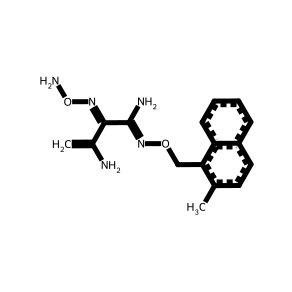 C=C(N)C(=N\ON)/C(N)=N/OCc1c(C)ccc2ccccc12